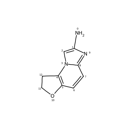 Nc1cn2c3c(ccc2n1)OCC3